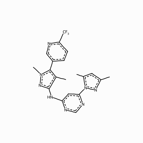 Cc1cc(C)n(-c2cc(Nc3nn(C)c(-c4ccc(C(F)(F)F)nc4)c3C)ncn2)n1